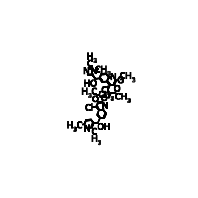 COc1nc2ccc(C(O)c3cnc(C)n3C)cc2c(Cl)c1OC(C)CCOc1nc2ccc(C(O)c3ccc(C)nc3C)cc2c(Cl)c1OC(C)C